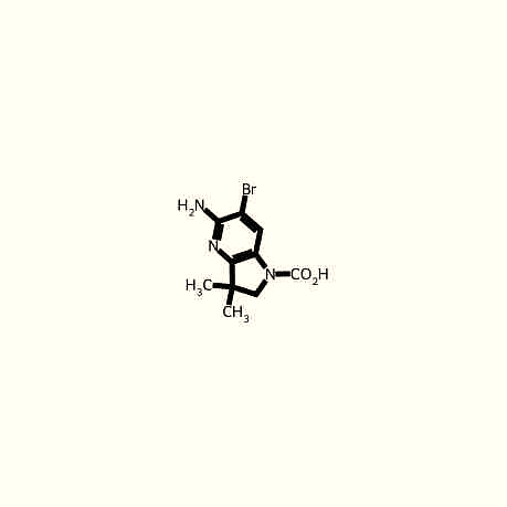 CC1(C)CN(C(=O)O)c2cc(Br)c(N)nc21